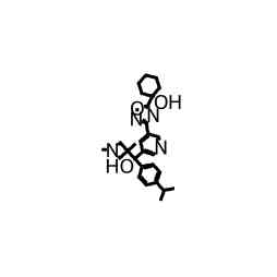 CC(C)c1ccc([C@](O)(c2cncc(-c3noc(C4(O)CCCCC4)n3)c2)C2(C)CN(C)C2)cc1